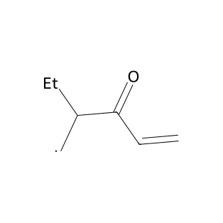 [CH2]C(CC)C(=O)C=C